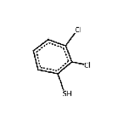 Sc1cc[c]c(Cl)c1Cl